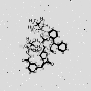 CC(C)(C)[Si](C)(C)ONC(=O)OC[C@]1(C)CC2/C(=C\c3cc(C(=O)NO[Si](C)(C)C(C)(C)C)ccn3)C(=O)N2[C@H]1C(=O)OC(c1ccccc1)c1ccccc1